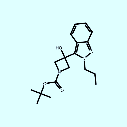 CCCn1nc2ccccc2c1C1(O)CN(C(=O)OC(C)(C)C)C1